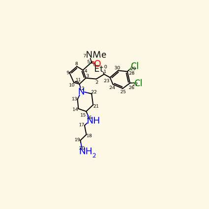 CCC(Cc1c(C(=O)NC)cccc1N1CCC(NCCCN)CC1)c1ccc(Cl)c(Cl)c1